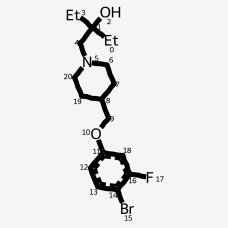 CCC(O)(CC)CN1CCC(COc2ccc(Br)c(F)c2)CC1